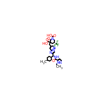 CCn1nccc1C(=O)N[C@H](c1cn2ncc(CC3(C(=O)O)C[C@@H](C(F)(F)F)CN(C(=O)O)C3=O)cc2n1)C1CCC(C)CC1